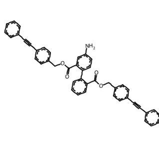 Nc1ccc(-c2ccccc2C(=O)OCc2ccc(C#Cc3ccccc3)cc2)c(C(=O)OCc2ccc(C#Cc3ccccc3)cc2)c1